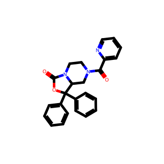 O=C(c1ccccn1)N1CCN2C(=O)OC(c3ccccc3)(c3ccccc3)C2C1